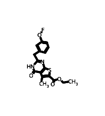 CCOC(=O)c1sc2nc(Cc3cccc(OF)c3)[nH]c(=O)c2c1C